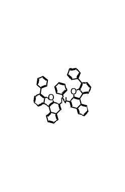 c1ccc(-c2cccc3c2oc2c(N(c4ccccc4)c4cc5ccccc5c5c4oc4c(-c6ccccc6)cccc45)cc4ccccc4c23)cc1